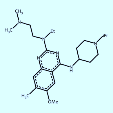 CCN(CCN(C)C)c1nc(NC2CCN(C(C)C)CC2)c2cc(OC)c(C)cc2n1